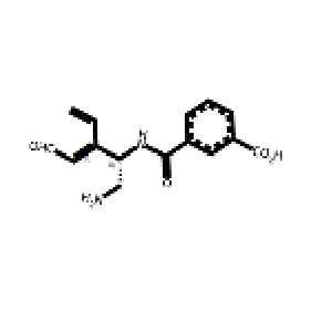 C=C/C(=C\C=O)[C@@H](CN)NC(=O)c1cccc(C(=O)O)c1